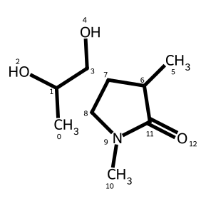 CC(O)CO.CC1CCN(C)C1=O